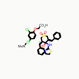 CNC.O=C(O)COc1ccc(Cl)cc1Cl.O=S1(=O)C/C(=C\c2ccccc2)C(O)(NC2=NCCS2)/C(=C\c2ccccc2)C1